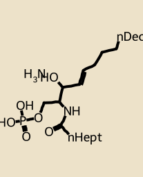 CCCCCCCCCCCCCC=CC(O)C(COP(=O)(O)O)NC(=O)CCCCCCC.N